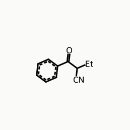 CCC(C#N)C(=O)c1ccccc1